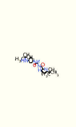 CC(C)(C)NC1CCC(NC(=O)CNC(=O)c2cccc(C(C)(C)C)n2)CC1